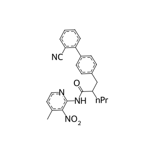 CCCC(Cc1ccc(-c2ccccc2C#N)cc1)C(=O)Nc1nccc(C)c1[N+](=O)[O-]